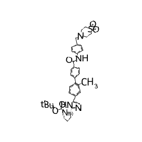 Cc1cc(-c2cnc([C@@H]3CCCN3C(=O)OC(C)(C)C)[nH]2)ccc1-c1ccc(C(=O)Nc2ccc(CN3CCS(=O)(=O)CC3)cc2)cc1